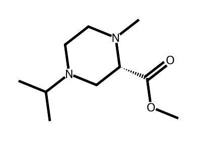 COC(=O)[C@@H]1CN(C(C)C)CCN1C